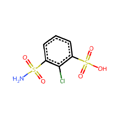 NS(=O)(=O)c1cccc(S(=O)(=O)O)c1Cl